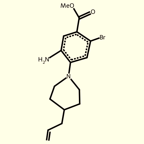 C=CCC1CCN(c2cc(Br)c(C(=O)OC)cc2N)CC1